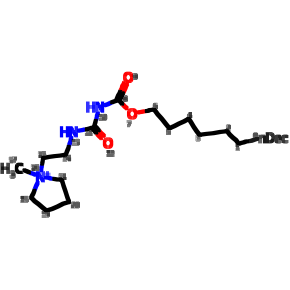 CCCCCCCCCCCCCCCCOC(=O)NC(=O)NCC[N+]1(C)CCCC1